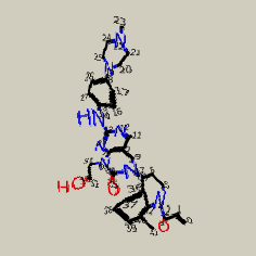 C=CC(=O)N1CC[C@H](N2Cc3cnc(Nc4ccc(N5CCN(C)CC5)cc4)nc3N(CCO)C2=O)c2cccc(C)c21